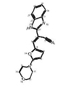 N#C/C(=C\c1ccc(N2CCOCC2)o1)c1nc2ccccc2[nH]1